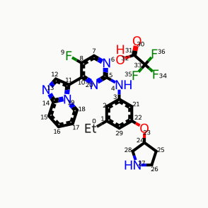 CCc1cc(Nc2ncc(F)c(-c3cnc4ccccn34)n2)cc(OC2CCNC2)c1.O=C(O)C(F)(F)F